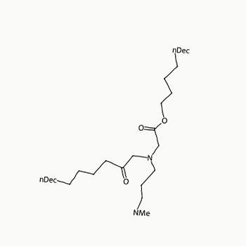 CCCCCCCCCCCCCCOC(=O)CN(CCCNC)CC(=O)CCCCCCCCCCCCCC